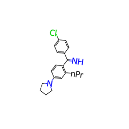 CCCc1cc(N2CCCC2)ccc1C(=N)c1ccc(Cl)cc1